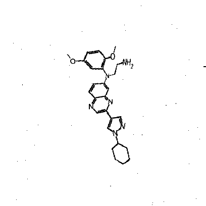 COc1ccc(OC)c(N(CCN)c2ccc3ncc(-c4cnn(C5CCCCC5)c4)nc3c2)c1